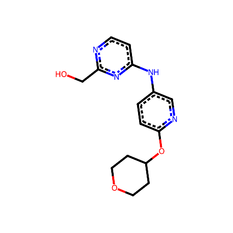 OCc1nccc(Nc2ccc(OC3CCOCC3)nc2)n1